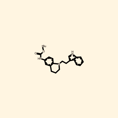 CC(C)(C)OC(=O)Nc1ccc2c(c1)CCCN2CCc1c[nH]c2ccccc12